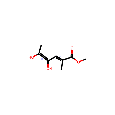 COC(=O)/C(C)=C/C(O)=C(\C)O